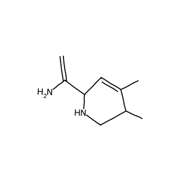 C=C(N)C1C=C(C)C(C)CN1